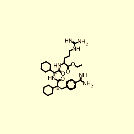 CCOC(=O)C(CCCNC(=N)N)NC(=O)[C@@H](NC(=O)[C@@H](Cc1ccc(C(=N)N)cc1)C1CCCCC1)C1CCCCC1